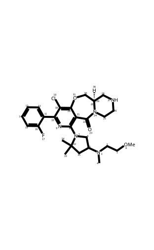 COCCN(C)C1CN(c2nc(-c3ccccc3F)c(Cl)c3c2C(=O)N2CCNC[C@@H]2CO3)C(C)(C)C1